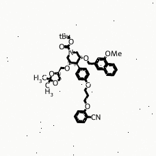 COc1cc(CO[C@H]2CN(C(=O)OC(C)(C)C)C[C@@H](OC[C@H]3COC(C)(C)O3)[C@@H]2c2ccc(OCCCOc3ccccc3C#N)cc2)cc2ccccc12